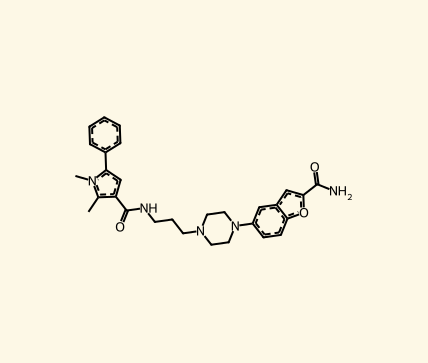 Cc1c(C(=O)NCCCN2CCN(c3ccc4oc(C(N)=O)cc4c3)CC2)cc(-c2ccccc2)n1C